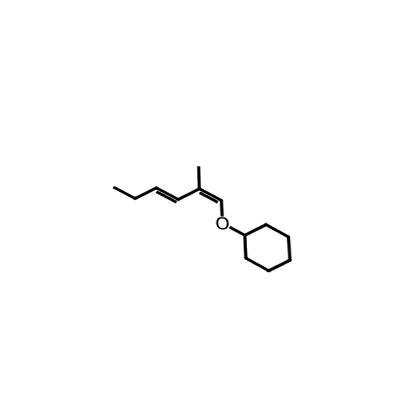 CCC=CC(C)=COC1CCCCC1